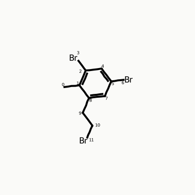 Cc1c(Br)cc(Br)cc1CCBr